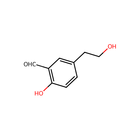 O=Cc1cc(CCO)ccc1O